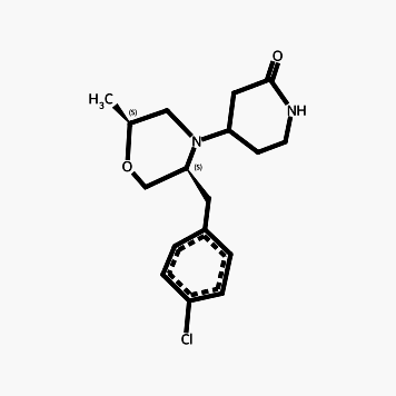 C[C@H]1CN(C2CCNC(=O)C2)[C@@H](Cc2ccc(Cl)cc2)CO1